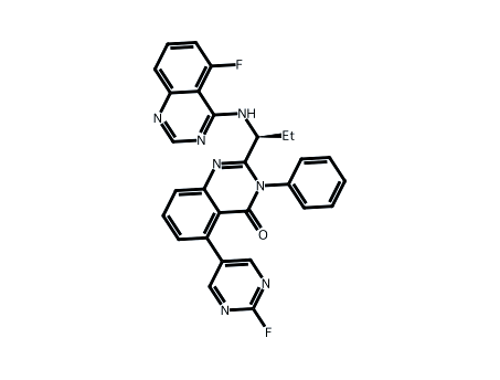 CC[C@H](Nc1ncnc2cccc(F)c12)c1nc2cccc(-c3cnc(F)nc3)c2c(=O)n1-c1ccccc1